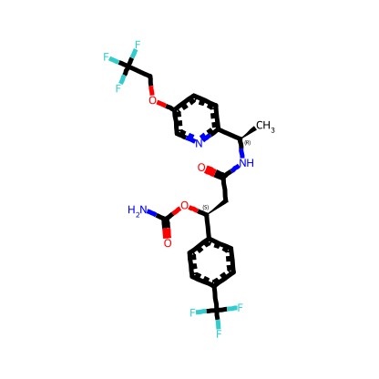 C[C@@H](NC(=O)C[C@H](OC(N)=O)c1ccc(C(F)(F)F)cc1)c1ccc(OCC(F)(F)F)cn1